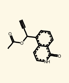 C#CC(OC(C)=O)c1cccc2c(=O)[nH]ccc12